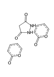 O=C1CC(=O)NN1.O=c1cccco1.O=c1cccco1